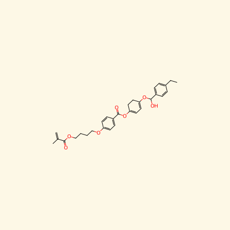 C=C(C)C(=O)OCCCCOc1ccc(C(=O)OC2=CC=C(OC(O)c3ccc(CC)cc3)CC2)cc1